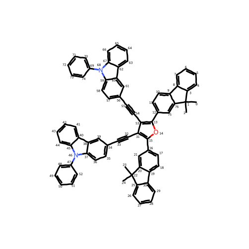 CC1(C)c2ccccc2-c2ccc(-c3oc(-c4ccc5c(c4)C(C)(C)c4ccccc4-5)c(C#Cc4ccc5c(c4)c4ccccc4n5-c4ccccc4)c3C#Cc3ccc4c(c3)c3ccccc3n4-c3ccccc3)cc21